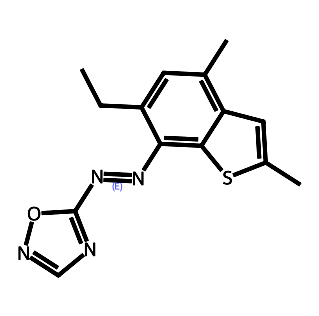 CCc1cc(C)c2cc(C)sc2c1/N=N/c1ncno1